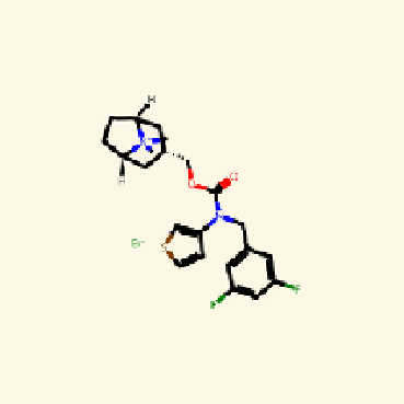 C[N+]1(C)[C@@H]2CC[C@H]1C[C@@H](COC(=O)N(Cc1cc(F)cc(F)c1)c1ccsc1)C2.[Br-]